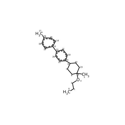 CCCOC1(C)CCC(c2ccc(-c3ccc(C)cc3)cc2)CC1